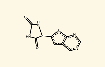 O=C1NC(=O)[C@H](c2cc3cncnc3s2)N1